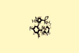 Fc1cc(F)c(-c2nc3ncccn3n2)c(F)c1.NC(=O)c1cn[nH]c1